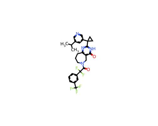 CC(C)c1cncc(C2(c3nc4c(c(=O)[nH]3)CN(C(=O)C(F)(F)c3cccc(C(F)(F)F)c3)CCC4)CC2)c1